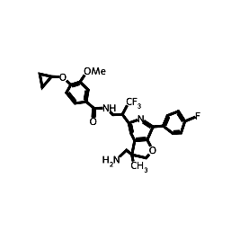 COc1cc(C(=O)NCC(c2cc3c(c(-c4ccc(F)cc4)n2)OCC3(C)CN)C(F)(F)F)ccc1OC1CC1